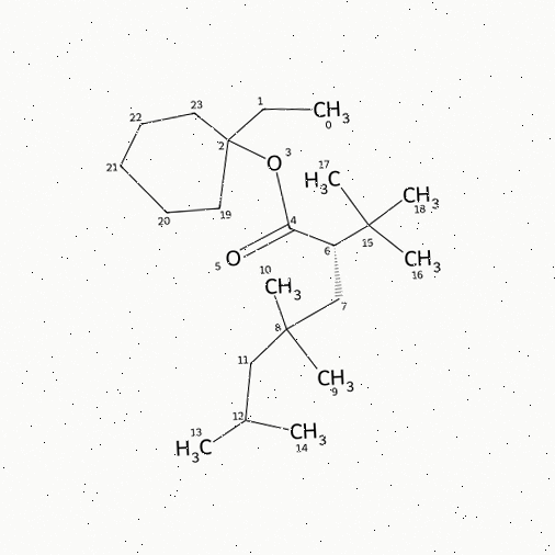 CCC1(OC(=O)[C@@H](CC(C)(C)CC(C)C)C(C)(C)C)CCCCC1